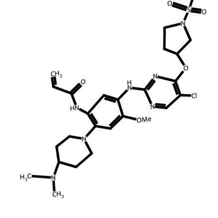 C=CC(=O)Nc1cc(Nc2ncc(Cl)c(OC3CCN(S(C)(=O)=O)C3)n2)c(OC)cc1N1CCC(N(C)C)CC1